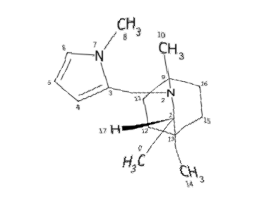 C[C@@H]1N(c2cccn2C)C2(C)CCC1(C)CC2